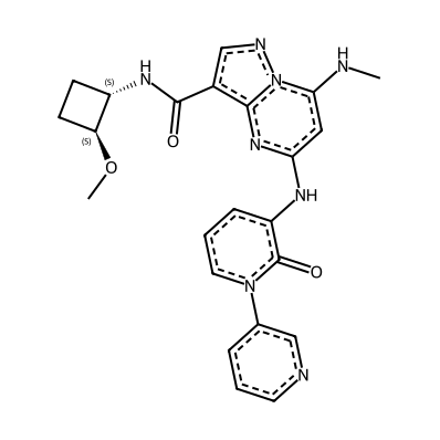 CNc1cc(Nc2cccn(-c3cccnc3)c2=O)nc2c(C(=O)N[C@H]3CC[C@@H]3OC)cnn12